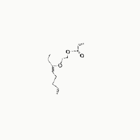 C=CCC/C=C(/CC)OCCOC(=O)C=C